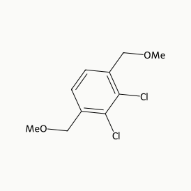 COCc1ccc(COC)c(Cl)c1Cl